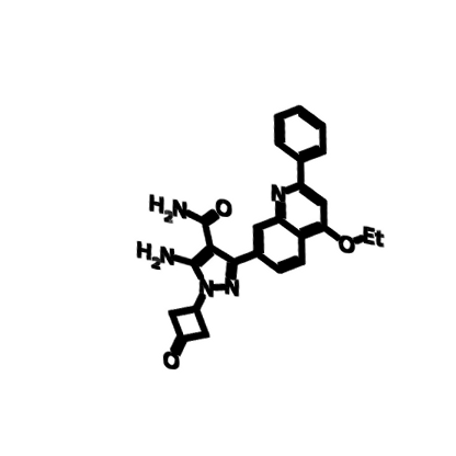 CCOc1cc(-c2ccccc2)nc2cc(-c3nn(C4CC(=O)C4)c(N)c3C(N)=O)ccc12